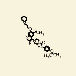 COc1cc2c(N3CCN(C(=O)Nc4ccc(OC(C)C)cc4)CC3)c(F)cnc2cc1OCCCN1CCCCC1